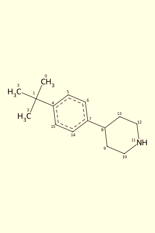 CC(C)(C)c1ccc(C2CCNCC2)cc1